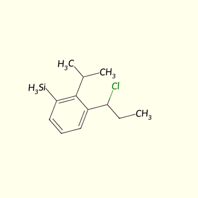 CCC(Cl)c1cccc([SiH3])c1C(C)C